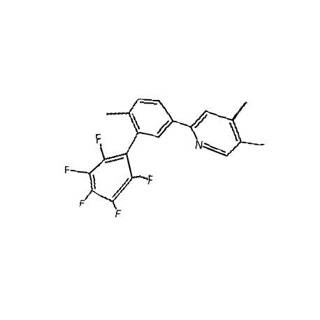 Cc1cnc(-c2ccc(C)c(-c3c(F)c(F)c(F)c(F)c3F)c2)cc1C